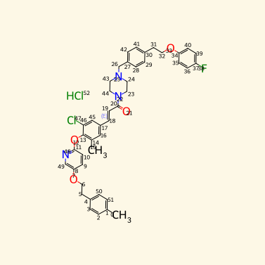 Cc1ccc(CCOc2ccc(Oc3c(C)cc(/C=C/C(=O)N4CCN(Cc5ccc(CCOc6ccc(F)cc6)cc5)CC4)cc3Cl)nc2)cc1.Cl